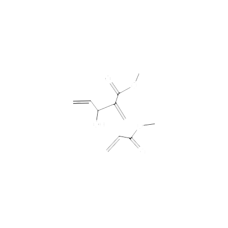 C=CC(=O)OC.C=CC(O)C(=C)C(=O)OC